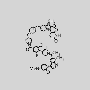 CNc1ccn(-c2ccnc3c2cc([C@H](C)N2CC=C(c4c(C)cc(C(=O)N5CCC(CN6CCN(Cc7ccc8c(c7)n(C)c(=O)n8C7CCC(=O)NC7=O)CC6)CC5)cc4F)CC2)n3C)c(=O)c1